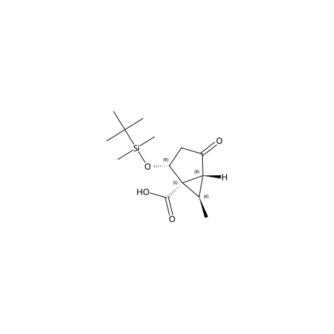 C[C@@H]1[C@H]2C(=O)C[C@@H](O[Si](C)(C)C(C)(C)C)[C@]12C(=O)O